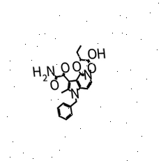 CCC(Oc1nccc2c1c(C(=O)C(N)=O)c(C)n2Cc1ccccc1)C(=O)O